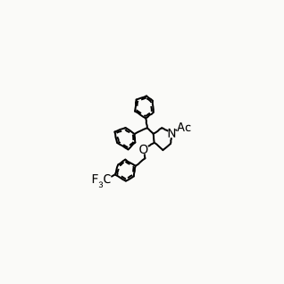 CC(=O)N1CCC(OCc2ccc(C(F)(F)F)cc2)C(C(c2ccccc2)c2ccccc2)C1